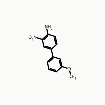 Nc1ccc(-c2cccc(OC(F)(F)F)c2)cc1[N+](=O)[O-]